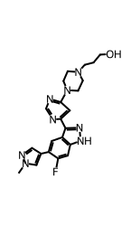 Cn1cc(-c2cc3c(-c4cc(N5CCN(CCCO)CC5)ncn4)n[nH]c3cc2F)cn1